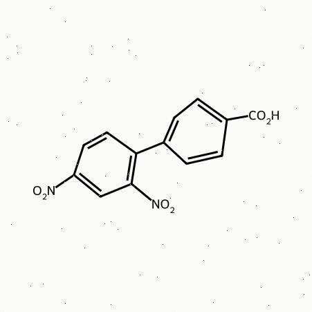 O=C(O)c1ccc(-c2ccc([N+](=O)[O-])cc2[N+](=O)[O-])cc1